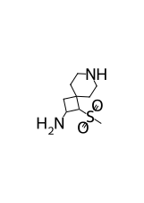 CS(=O)(=O)C1C(N)CC12CCNCC2